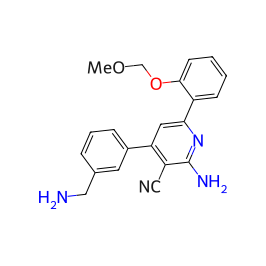 COCOc1ccccc1-c1cc(-c2cccc(CN)c2)c(C#N)c(N)n1